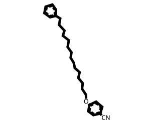 N#Cc1ccc(OCCCCCCCCCCCCCCCc2ccccc2)cc1